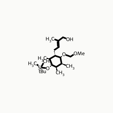 COCO[C@@H]1[C@@H](C)[C@@H](C)[C@H](O[Si](C)(C)C(C)(C)C)[C@@H](C)[C@@H]1C/C=C(\C)CO